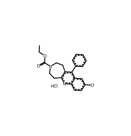 CCOC(=O)N1CCc2nc3ccc(Cl)cc3c(-c3ccccc3)c2CC1.Cl